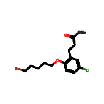 COC(=O)CCc1cc(Cl)ccc1OCCCCCBr